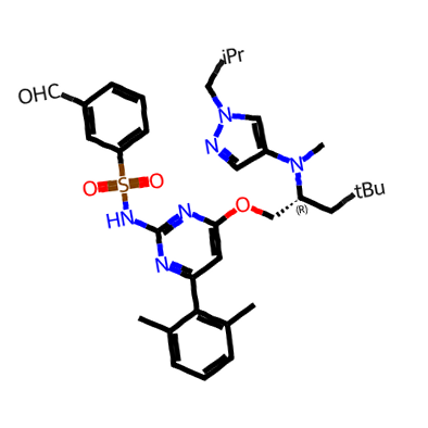 Cc1cccc(C)c1-c1cc(OC[C@@H](CC(C)(C)C)N(C)c2cnn(CC(C)C)c2)nc(NS(=O)(=O)c2cccc(C=O)c2)n1